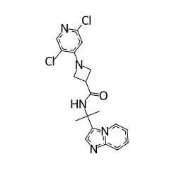 CC(C)(NC(=O)C1CN(c2cc(Cl)ncc2Cl)C1)c1cnc2ccccn12